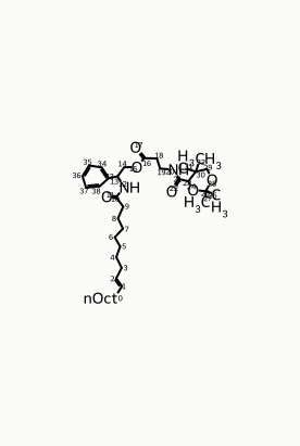 CCCCCCCCC=CCCCCCCCC(=O)NC(COC(=O)CCNC(=O)C1OC(C)(C)OCC1(C)C)c1ccccc1